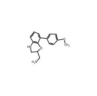 COc1ccc(-c2cccc3c2OC(CN)CN3)cc1